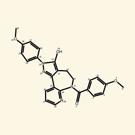 COc1ccc(C(=O)N2CCc3c(nn(-c4ccc(OC)cc4)c3O)-c3cccnc32)cc1